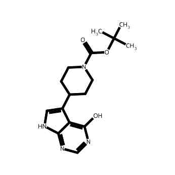 CC(C)(C)OC(=O)N1CCC(c2c[nH]c3ncnc(O)c23)CC1